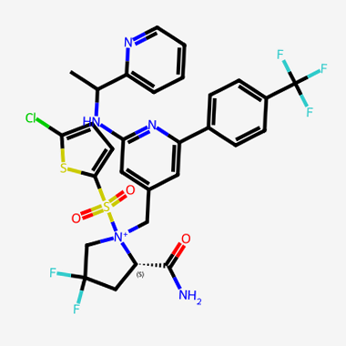 CC(Nc1cc(C[N+]2(S(=O)(=O)c3ccc(Cl)s3)CC(F)(F)C[C@H]2C(N)=O)cc(-c2ccc(C(F)(F)F)cc2)n1)c1ccccn1